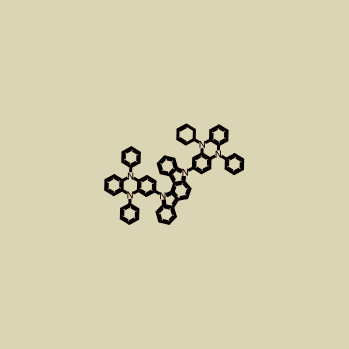 C1=CCC(N2c3ccccc3N(c3ccccc3)c3ccc(-n4c5ccccc5c5c4ccc4c6ccccc6n(-c6ccc7c(c6)N(c6ccccc6)c6ccccc6N7c6ccccc6)c45)cc32)C=C1